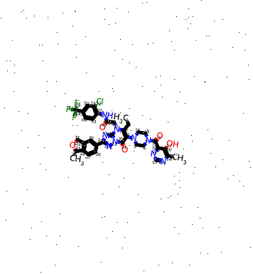 CCc1c(N2CCN(C(=O)c3ncnc(C)c3O)CC2)c(=O)n2nc(-c3ccc4c(c3)CO[C@@H]4C)nc2n1CC(=O)Nc1ccc(C(F)(F)F)cc1Cl